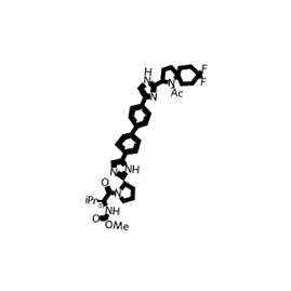 COC(=O)N[C@H](C(=O)N1CCC[C@H]1c1ncc(-c2ccc(-c3ccc(-c4c[nH]c(C5CCC6(CCC(F)(F)CC6)N5C(C)=O)n4)cc3)cc2)[nH]1)C(C)C